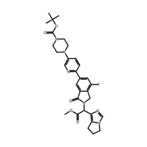 COC(=O)C(c1ncn2c1CCC2)N1Cc2c(F)cc(-c3ccc(N4CCN(C(=O)OC(C)(C)C)CC4)cn3)cc2C1=O